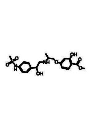 COC(=O)c1ccc(OCC(C)NCC(O)c2ccc(NS(C)(=O)=O)cc2)cc1O